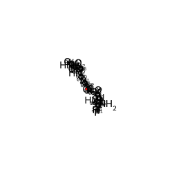 COc1cc2nc(C)nc(NC(C)c3cc(N)cc(C(F)(F)F)c3)c2cc1OCC1(CN(C)C(=O)C2CCN([C@H]3CC[C@H](Nc4cccc5c4C(=O)N(C4CCC(=O)NC4=O)C5=O)CC3)CC2)CC1